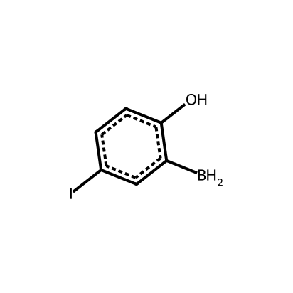 Bc1cc(I)ccc1O